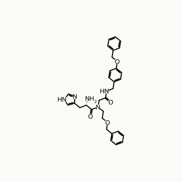 N[C@@H](Cc1c[nH]cn1)C(=O)N(CCOCc1ccccc1)CC(=O)NCc1ccc(OCc2ccccc2)cc1